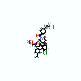 CCc1cccc(-c2c(Cl)cccc2C(O)(CCCCOC)C2CCCN(C(=O)C3CCC(CNC)CC3)C2)c1